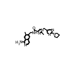 Cc1cc2c(N)nccc2cc1CNC(=O)c1cn(Cc2cnc(N3CCCC3)nc2)c(C)n1